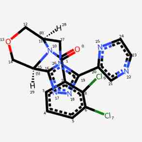 O=C(c1cccc(Cl)c1Cl)N1[C@H]2COC[C@@H]1c1nnc(-c3cnccn3)n1C2